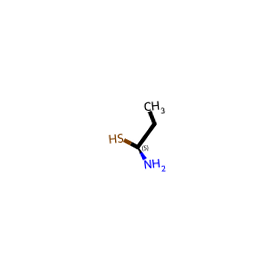 CC[C@@H](N)S